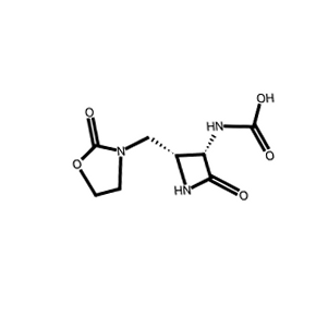 O=C(O)N[C@@H]1C(=O)N[C@@H]1CN1CCOC1=O